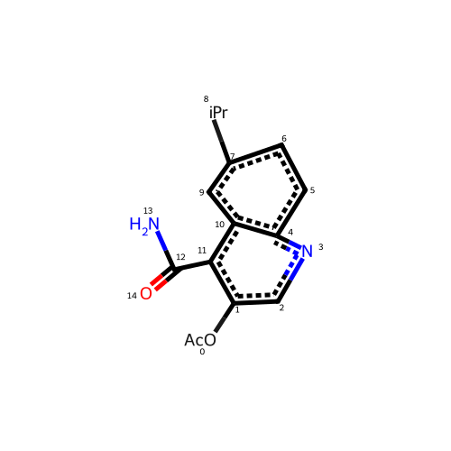 CC(=O)Oc1cnc2ccc(C(C)C)cc2c1C(N)=O